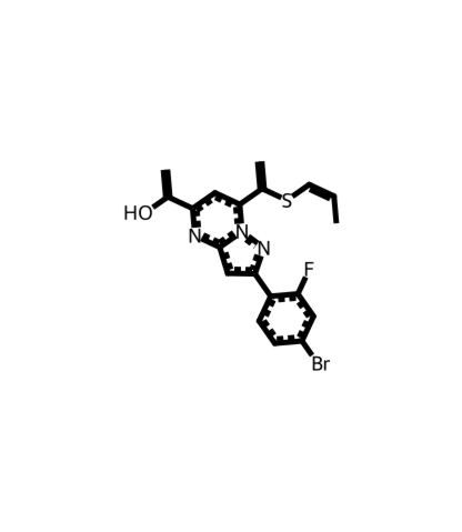 C=C(O)c1cc(C(=C)S/C=C\C)n2nc(-c3ccc(Br)cc3F)cc2n1